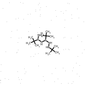 CC(C)(C)BNB(NB(N)C(C)(C)C)C(C)(C)C